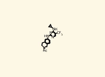 CC(=O)N1CCc2cc(Nc3ncc(C(F)(F)F)c(NC4CC4)n3)ccc2C1